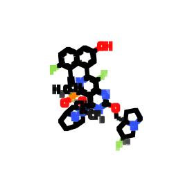 C#Cc1c(F)ccc2cc(O)cc(-c3nc(P(C)(C)=O)c4c(N5CC6CCC(C5)N6C(=O)C(F)(F)F)nc(OC[C@]56CCCN5C[C@@H](F)C6)nc4c3F)c12